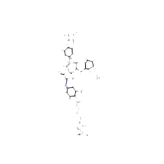 CC(C)(C)[Si](C)(C)Oc1ccc(C2=CN3C(=O)/C(=C/c4ccc(OCCCCCCS(=O)(=O)[O-])c(F)c4)N=C3C(Cc3ccccc3)=N2)cc1.[Na+]